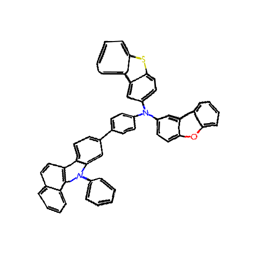 c1ccc(-n2c3cc(-c4ccc(N(c5ccc6oc7ccccc7c6c5)c5ccc6sc7ccccc7c6c5)cc4)ccc3c3ccc4ccccc4c32)cc1